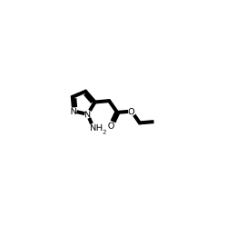 CCOC(=O)Cc1ccnn1N